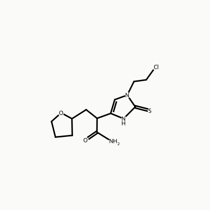 NC(=O)C(CC1CCCO1)c1cn(CCCl)c(=S)[nH]1